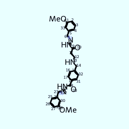 COc1cccc(/C=N/NC(=O)CCNCc2ccc(C(=O)N/N=C/c3cccc(OC)c3)cc2)c1